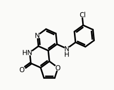 O=c1[nH]c2nccc(Nc3cccc(Cl)c3)c2c2occc12